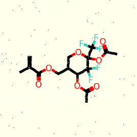 C=C(C)C(=O)OCC1COC(OC(C)=O)(C(F)(F)F)C(F)(F)C1OC(C)=O